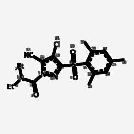 CCN(CC)C(=O)n1nc(S(=O)(=O)c2c(C)cc(C)cc2C)c(Cl)c1C#N